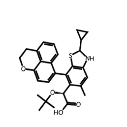 Cc1cc2c(c(-c3ccc4c5c(cccc35)CCO4)c1[C@H](OC(C)(C)C)C(=O)O)SC(C1CC1)N2